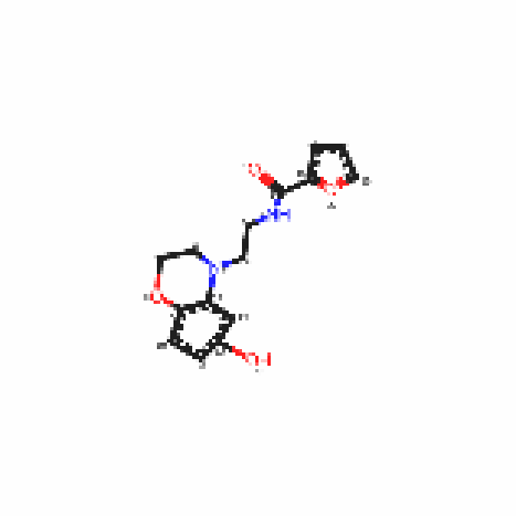 O=C(NCCN1CCOc2ccc(O)cc21)c1ccco1